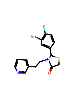 O=C1CSC(c2ccc(F)c(Br)c2)N1CCc1cccnc1